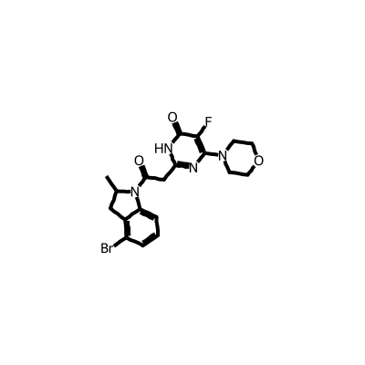 CC1Cc2c(Br)cccc2N1C(=O)Cc1nc(N2CCOCC2)c(F)c(=O)[nH]1